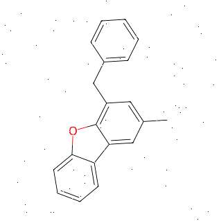 Cc1cc(Cc2ccccc2)c2oc3ccccc3c2c1